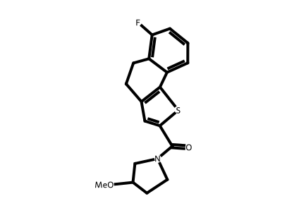 COC1CCN(C(=O)c2cc3c(s2)-c2cccc(F)c2CC3)C1